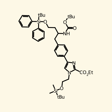 CCOC(=O)c1nc(-c2ccc(CC(CCO[Si](c3ccccc3)(c3ccccc3)C(C)(C)C)NC(=O)OC(C)(C)C)cc2)cn1CCO[Si](C)(C)C(C)(C)C